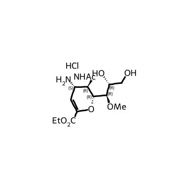 CCOC(=O)C1=C[C@H](N)[C@@H](NC(C)=O)[C@H]([C@H](OC)[C@H](O)CO)O1.Cl